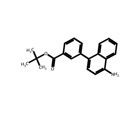 CC(C)(C)OC(=O)c1cccc(-c2ccc(N)c3ccccc23)c1